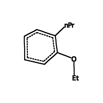 [CH2]COc1ccccc1CCC